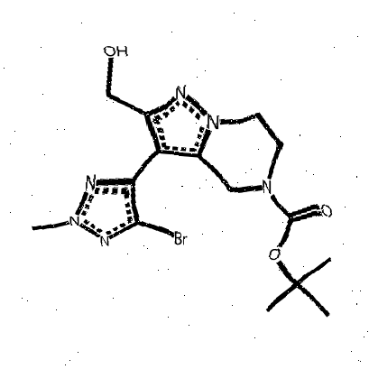 Cn1nc(Br)c(-c2c(CO)nn3c2CN(C(=O)OC(C)(C)C)CC3)n1